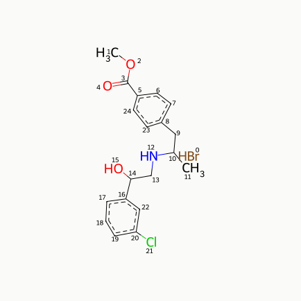 Br.COC(=O)c1ccc(CC(C)NCC(O)c2cccc(Cl)c2)cc1